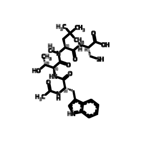 CC(=O)N[C@@H](Cc1c[nH]c2ccccc12)C(=O)N[C@H](C(=O)N(C)[C@@H](CC(C)(C)C)C(=O)N[C@@H](CS)C(=O)O)[C@@H](C)O